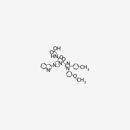 CCOc1cccc(-n2cc(C(=O)N3CCN(c4cnc5ccccc5c4)C[C@H]3C(=O)NCC(=O)O)nc2-c2ccc(C)cc2)c1